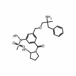 CCCC1CCCN1C(=O)c1cc(COCC(C)(N)Cc2ccccc2)cc(N(CCC)S(C)(=O)=O)c1